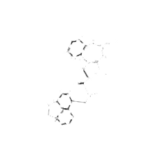 CN(Cc1ccc2c3c(cccc13)CC2)C(=O)C=CN1c2ncccc2CN(C(=O)O)CC1C(C)(C)C